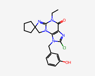 CCN1C(=O)c2nc(Cl)n(Cc3cccc(O)c3)c2N2CC3(CCCC3)N=C12